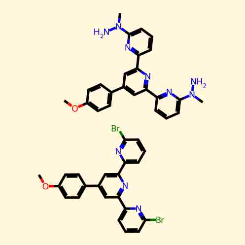 COc1ccc(-c2cc(-c3cccc(Br)n3)nc(-c3cccc(Br)n3)c2)cc1.COc1ccc(-c2cc(-c3cccc(N(C)N)n3)nc(-c3cccc(N(C)N)n3)c2)cc1